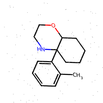 Cc1ccccc1C12CCCCC1OCCN2